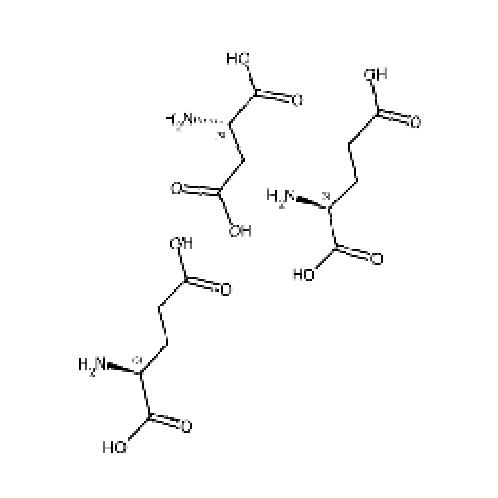 N[C@@H](CC(=O)O)C(=O)O.N[C@@H](CCC(=O)O)C(=O)O.N[C@@H](CCC(=O)O)C(=O)O